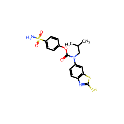 CC(C)CN(C(=O)Oc1ccc(S(N)(=O)=O)cc1)c1ccc2nc(S)sc2c1